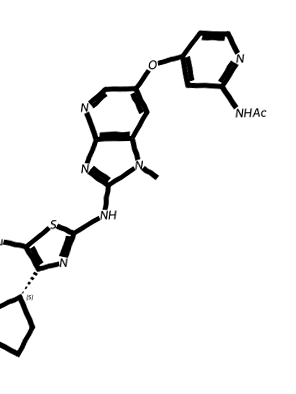 CC(=O)Nc1cc(Oc2cnc3nc(Nc4nc([C@@H]5CCOC5)c(C(C)(C)C)s4)n(C)c3c2)ccn1